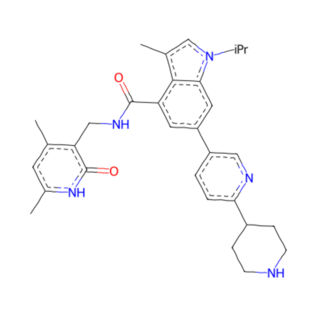 Cc1cc(C)c(CNC(=O)c2cc(-c3ccc(C4CCNCC4)nc3)cc3c2c(C)cn3C(C)C)c(=O)[nH]1